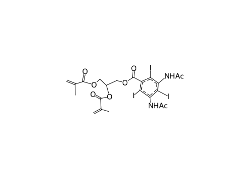 C=C(C)C(=O)OCC(COC(=O)c1c(I)c(NC(C)=O)c(I)c(NC(C)=O)c1I)OC(=O)C(=C)C